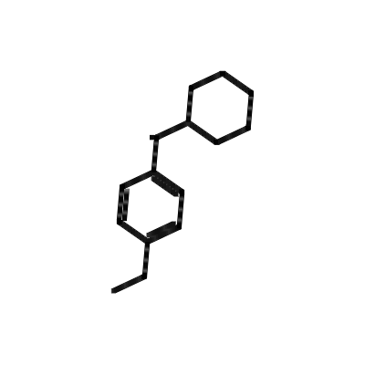 CCc1ccc([CH]C2CCCCC2)cc1